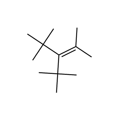 CC(C)=C(C(C)(C)C)C(C)(C)C